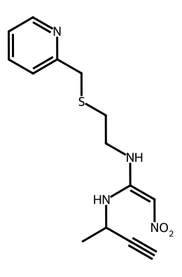 C#CC(C)NC(=C[N+](=O)[O-])NCCSCc1ccccn1